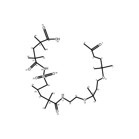 CC(=O)CCC(C)(C)OCCC(C)(C)OCCNC(=O)C(C)(C)CC(C)CS(=O)(=O)NC(=O)C(C)(C)CC(C)(C)C(=O)O